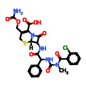 CN(C(=O)NC(C(=O)NC1C(=O)N2C(C(=O)O)=C(COC(N)=O)CS[C@@H]12)c1ccccc1)C(=O)c1ccccc1Cl